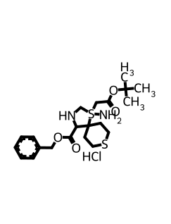 CC(C)(C)OC(=O)CS1(N)CNC(C(=O)OCc2ccccc2)C12CCSCC2.Cl